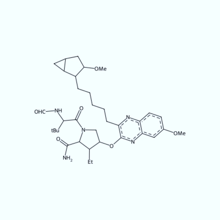 CCC1C(Oc2nc3cc(OC)ccc3nc2CCCCCC2C(OC)CC3CC32)CN(C(=O)C(NC=O)C(C)(C)C)C1C(N)=O